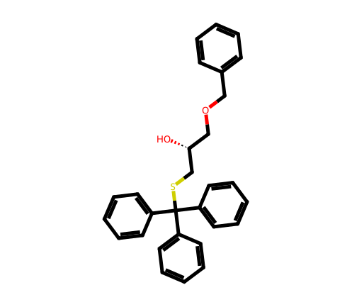 O[C@H](COCc1ccccc1)CSC(c1ccccc1)(c1ccccc1)c1ccccc1